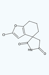 O=C1CC2(CCCc3oc(Cl)cc32)C(=O)N1